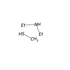 CCNCC.CS